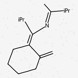 C=C1CCCC/C1=C(/N=C(\C)C(C)C)C(C)C